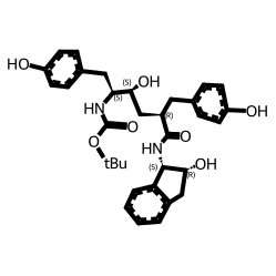 CC(C)(C)OC(=O)N[C@@H](Cc1ccc(O)cc1)[C@@H](O)C[C@@H](Cc1ccc(O)cc1)C(=O)N[C@H]1c2ccccc2C[C@H]1O